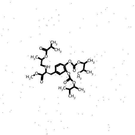 COC(=O)[C@H](Cc1ccc(OC(=O)OC(C)C(C)C)c(OC(=O)OC(C)C(C)C)c1)NCC(C)OC(=O)C(C)C